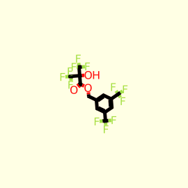 O=C(OCc1cc(C(F)(F)F)cc(C(F)(F)F)c1)C(O)(C(F)(F)F)C(F)(F)F